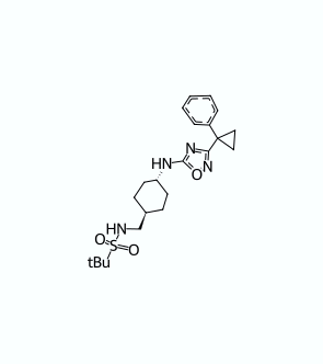 CC(C)(C)S(=O)(=O)NC[C@H]1CC[C@H](Nc2nc(C3(c4ccccc4)CC3)no2)CC1